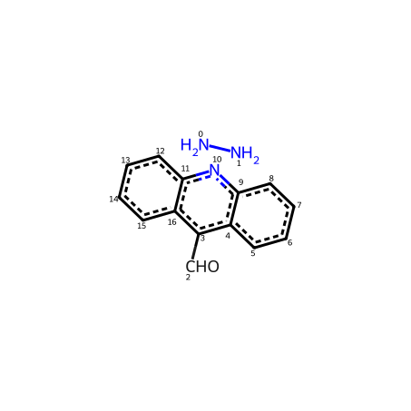 NN.O=Cc1c2ccccc2nc2ccccc12